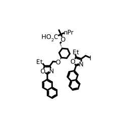 CCCC(C)(OC[C@@H]1CCC[C@H](OCc2nc(-c3ccc4ccccc4c3)oc2CC)C1)C(=O)O.CCc1oc(-c2ccc3ccccc3c2)nc1CI